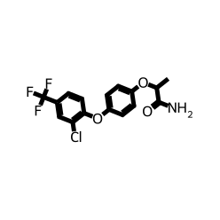 CC(Oc1ccc(Oc2ccc(C(F)(F)F)cc2Cl)cc1)C(N)=O